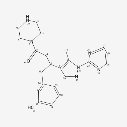 Cc1c(C(CC(=O)N2CCNCC2)Cc2ccccc2)cnn1-c1ncccn1.Cl